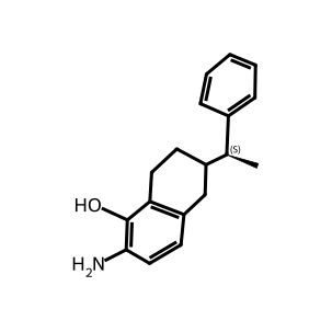 C[C@H](c1ccccc1)C1CCc2c(ccc(N)c2O)C1